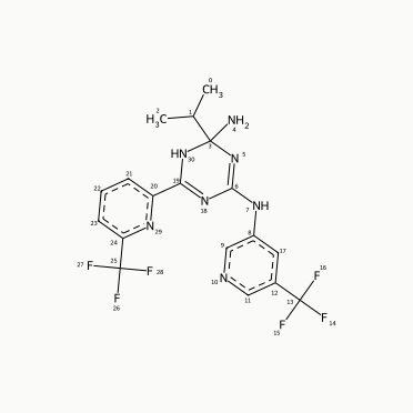 CC(C)C1(N)N=C(Nc2cncc(C(F)(F)F)c2)N=C(c2cccc(C(F)(F)F)n2)N1